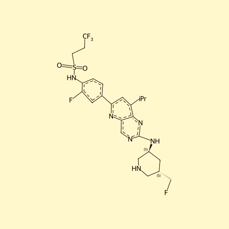 CC(C)c1cc(-c2ccc(NS(=O)(=O)CCC(F)(F)F)c(F)c2)nc2cnc(N[C@@H]3CNC[C@@H](CF)C3)nc12